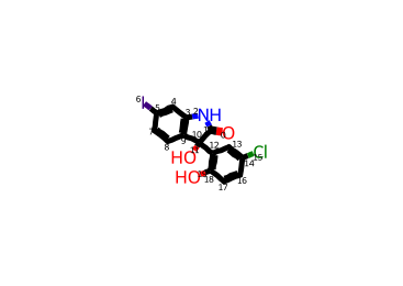 O=C1Nc2cc(I)ccc2C1(O)c1cc(Cl)ccc1O